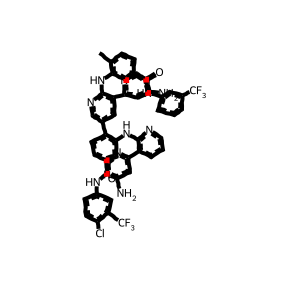 Cc1ccc(C(=O)Nc2cccc(C(F)(F)F)c2)cc1Nc1ncc(-c2ccc(C(=O)Nc3ccc(Cl)c(C(F)(F)F)c3)cc2Nc2ncccc2-c2cc(N)ncn2)cc1-c1cc(N)ncn1